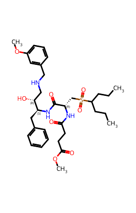 CCCC(CCC)S(=O)(=O)C[C@H](NC(=O)CCC(=O)OC)C(=O)N[C@@H](Cc1ccccc1)[C@H](O)CNCc1cccc(OC)c1